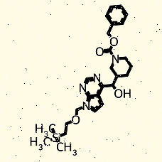 C[Si](C)(C)CCOCn1ccc2c(C(O)C3CCCN(C(=O)OCc4ccccc4)C3)ncnc21